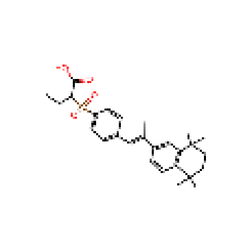 CCC(C(=O)O)S(=O)(=O)c1ccc(C=C(C)c2ccc3c(c2)C(C)(C)CCC3(C)C)cc1